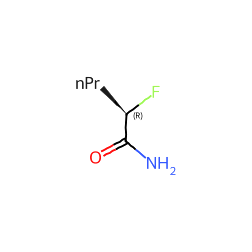 CCC[C@@H](F)C(N)=O